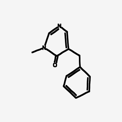 Cn1cncc(Cc2ccccc2)c1=O